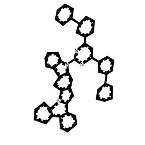 c1ccc(-c2cccc(-c3cc(-c4cccc(-c5ccccc5)c4)nc(-n4c5ccccc5c5cc6c(cc54)cc4c5ccccc5c5ccccc5n64)n3)c2)cc1